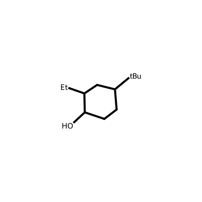 CCC1CC(C(C)(C)C)CCC1O